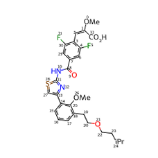 COC(=Cc1c(F)cc(C(=O)Nc2nc(-c3cccc(CCOCCC(C)C)c3OC)cs2)cc1F)C(=O)O